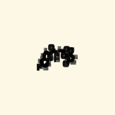 O=C(CNC(=O)c1ccc2cc(F)ccc2n1)ON1C(=O)CCC1=O